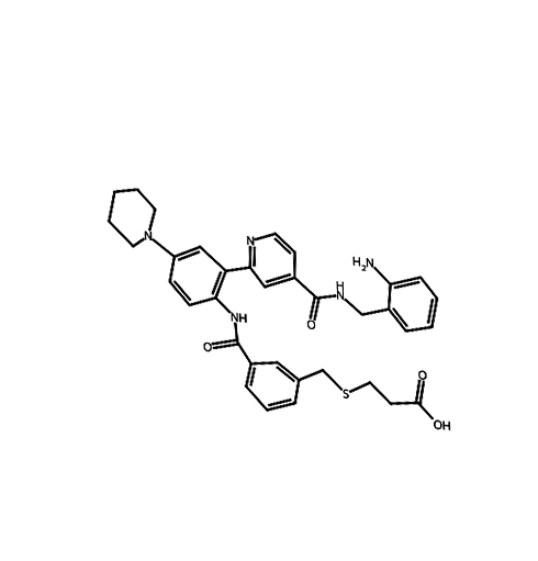 Nc1ccccc1CNC(=O)c1ccnc(-c2cc(N3CCCCC3)ccc2NC(=O)c2cccc(CSCCC(=O)O)c2)c1